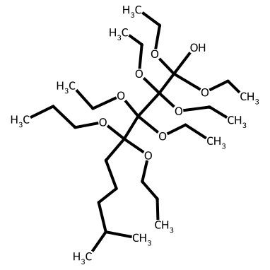 CCCOC(CCCC(C)C)(OCCC)C(OCC)(OCC)C(OCC)(OCC)C(O)(OCC)OCC